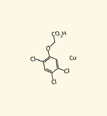 O=C(O)COc1cc(Cl)c(Cl)cc1Cl.[Cu]